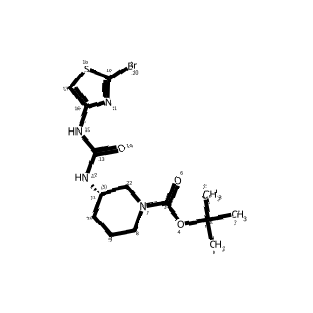 CC(C)(C)OC(=O)N1CCC[C@H](NC(=O)Nc2csc(Br)n2)C1